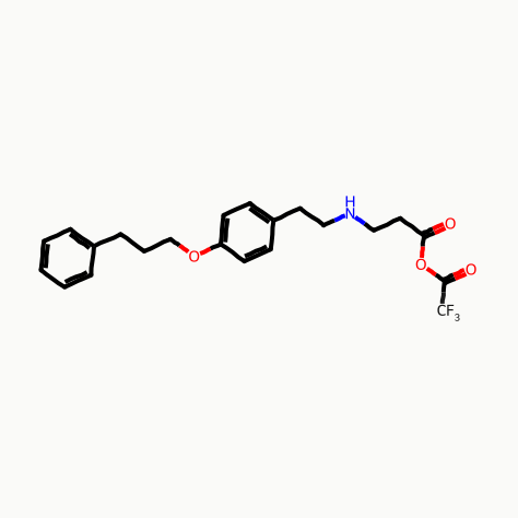 O=C(CCNCCc1ccc(OCCCc2ccccc2)cc1)OC(=O)C(F)(F)F